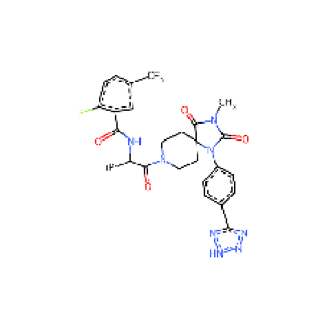 CC(C)C(NC(=O)c1cc(C(F)(F)F)ccc1F)C(=O)N1CCC2(CC1)C(=O)N(C)C(=O)N2c1ccc(-c2nn[nH]n2)cc1